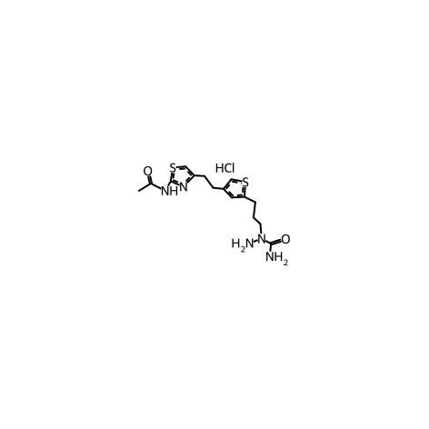 CC(=O)Nc1nc(CCc2csc(CCCN(N)C(N)=O)c2)cs1.Cl